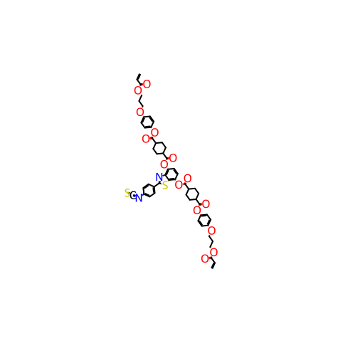 C=CC(=O)OCCCOc1ccc(OC(=O)C2CCC(C(=O)Oc3ccc(OC(=O)C4CCC(C(=O)Oc5ccc(OCCCOC(=O)C=C)cc5)CC4)c4sc(-c5ccc(N=C=S)cc5)nc34)CC2)cc1